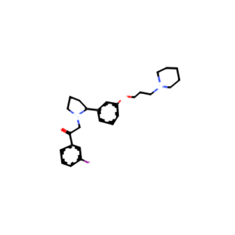 O=C(CN1CCCC1c1cccc(OCCCN2CCCCC2)c1)c1cccc(I)c1